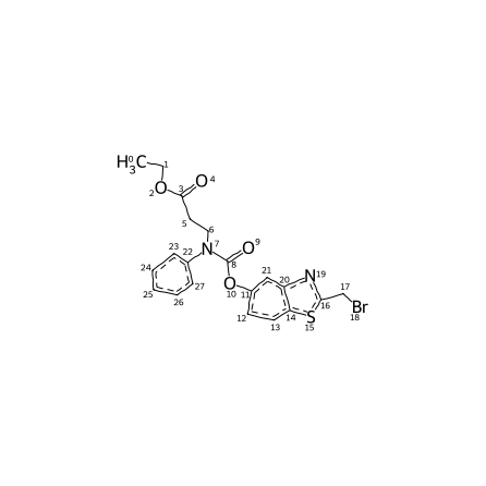 CCOC(=O)CCN(C(=O)Oc1ccc2sc(CBr)nc2c1)c1ccccc1